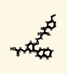 CCc1cccc(NC(=S)NCCOc2ccc(CCC(=O)O)cc2-c2ccc3ccccc3c2)c1